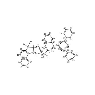 CC1(C)c2cc3c(cc2-c2c1ccc1ccccc21)C(C)(C)c1cc(-c2nc(-c4ccccc4)nc(-c4ccccc4)n2)c2ccccc2c1-3